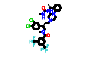 CNC(=O)N[C@H](C)c1ccccc1N1CCN(CC[C@H](CN(C)C(=O)c2cc(C(F)(F)F)cc(C(F)(F)F)c2)c2ccc(Cl)c(Cl)c2)CC1